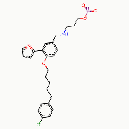 O=[PH](O)OCCCNCc1ccc(OCCCCCc2ccc(Cl)cc2)c(-c2ccco2)c1